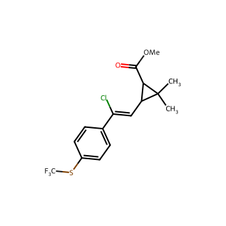 COC(=O)C1C(C=C(Cl)c2ccc(SC(F)(F)F)cc2)C1(C)C